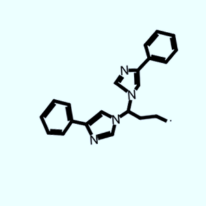 [CH2]CCC(n1cnc(-c2ccccc2)c1)n1cnc(-c2ccccc2)c1